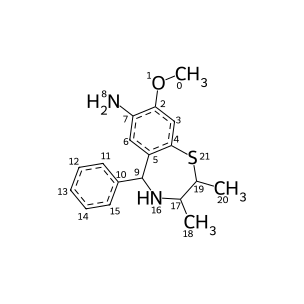 COc1cc2c(cc1N)C(c1ccccc1)NC(C)C(C)S2